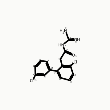 N=C(N)NC(=O)Cc1c(Cl)cccc1-c1cccc(Cl)c1